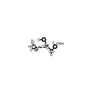 COc1ccc(-c2oc(=O)oc2COP(=O)(COCCn2cnc3c(=O)[nH]c(N)nc32)OCc2cccc(Cl)c2)cc1F